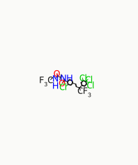 CC(C)(NC(=O)c1ccc(/C=C/C(c2cc(Cl)c(Cl)c(Cl)c2)C(F)(F)F)cc1Cl)C(=O)NCC(F)(F)F